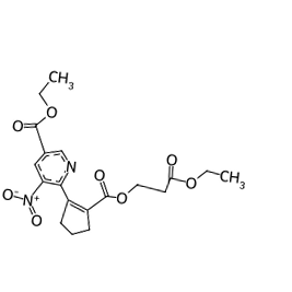 CCOC(=O)CCOC(=O)C1=C(c2ncc(C(=O)OCC)cc2[N+](=O)[O-])CCC1